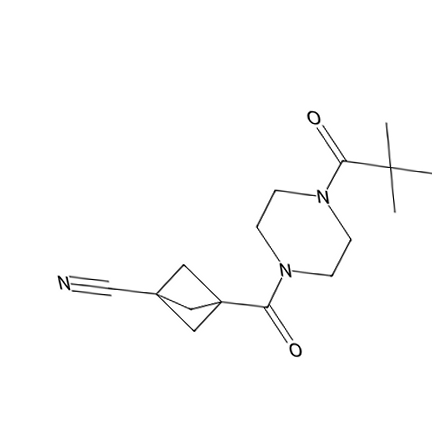 CC(C)(C)C(=O)N1CCN(C(=O)C23CC(C#N)(C2)C3)CC1